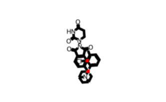 O=C1CCN(N2C(=O)c3ccc(CN4C5CC4CN(c4cccc(Cl)c4Cl)C5)cc3C2=O)C(=O)N1